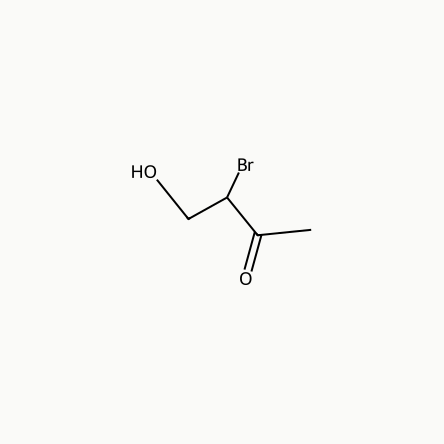 CC(=O)C(Br)CO